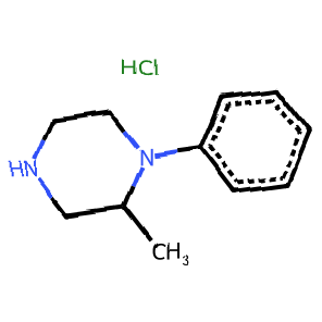 CC1CNCCN1c1ccccc1.Cl